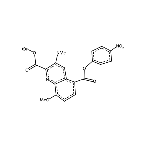 CNc1cc2c(C(=O)Oc3ccc([N+](=O)[O-])cc3)ccc(OC)c2nc1C(=O)OC(C)(C)C